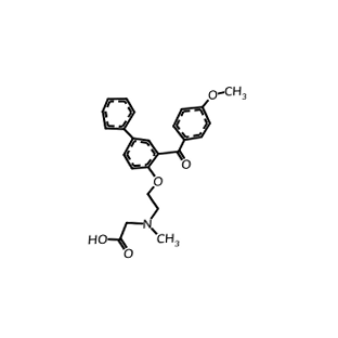 COc1ccc(C(=O)c2cc(-c3ccccc3)ccc2OCCN(C)CC(=O)O)cc1